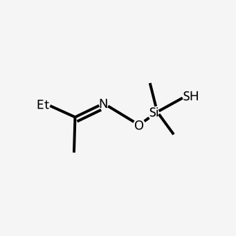 CCC(C)=NO[Si](C)(C)S